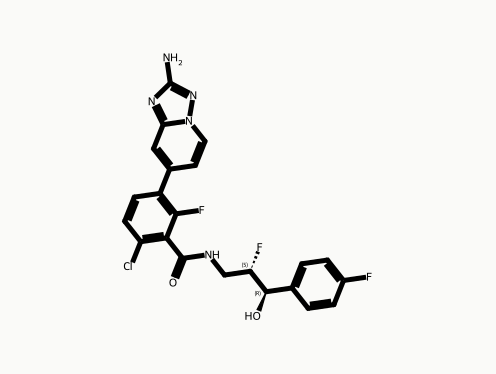 Nc1nc2cc(-c3ccc(Cl)c(C(=O)NC[C@H](F)[C@H](O)c4ccc(F)cc4)c3F)ccn2n1